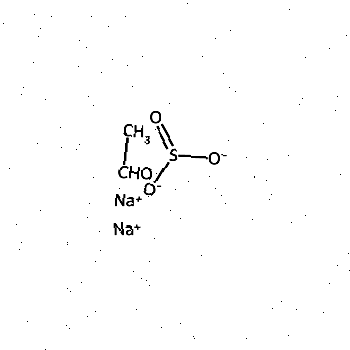 CC=O.O=S([O-])[O-].[Na+].[Na+]